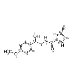 COc1ccc(C(O)CNC(=O)c2cc(Br)c[nH]2)cc1